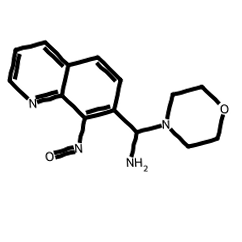 NC(c1ccc2cccnc2c1N=O)N1CCOCC1